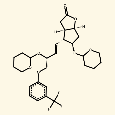 O=C1C[C@@H]2[C@@H](/C=C/[C@H](COc3cccc(C(F)(F)F)c3)OC3CCCCO3)[C@H](OC3CCCCO3)C[C@@H]2O1